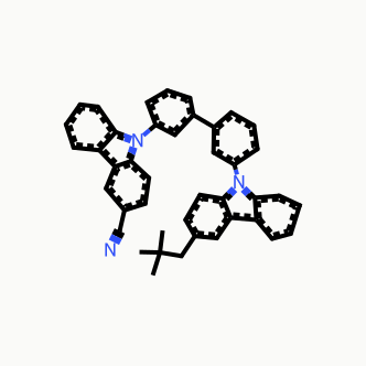 CC(C)(C)Cc1ccc2c(c1)c1ccccc1n2-c1cccc(-c2cccc(-n3c4ccccc4c4cc(C#N)ccc43)c2)c1